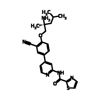 CC(C)C[C@](C)(N)COc1ccc(-c2ccnc(NC(=O)c3nccs3)c2)cc1C#N